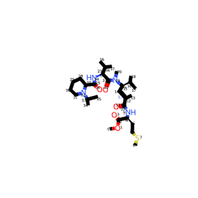 COC(=O)[C@H](CCSC)NC(=O)/C(C)=C/[C@H](C(C)C)N(C)C(=O)[C@@H](NC(=O)C1CCCCN1C(C)C)C(C)C